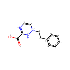 O=C(O)C1=NC=CN(CCc2ccccc2)N1